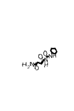 NC(=O)CCC(=O)NC(=O)NC1CCCCC1